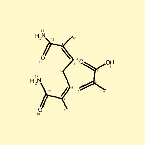 C=C(C)C(=O)O.CC(=CCC=C(C)C(N)=O)C(N)=O